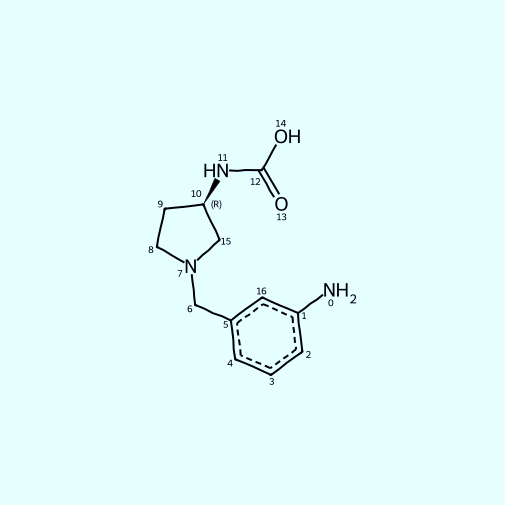 Nc1cccc(CN2CC[C@@H](NC(=O)O)C2)c1